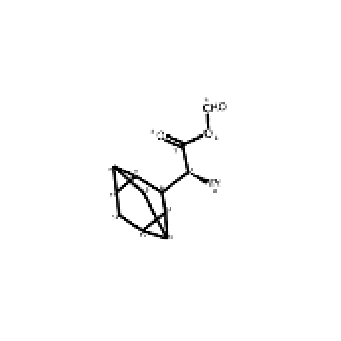 CC(C)[C@H](C(=O)OC=O)C1C2C3CC4C(CC32)C41